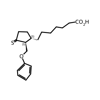 O=C(O)CCCCCC[C@H]1CCC(=S)[C@@H]1COc1ccccc1